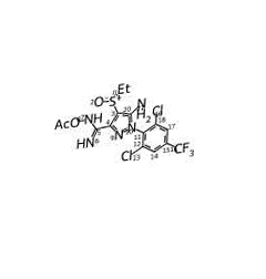 CC[S+]([O-])c1c(C(=N)NOC(C)=O)nn(-c2c(Cl)cc(C(F)(F)F)cc2Cl)c1N